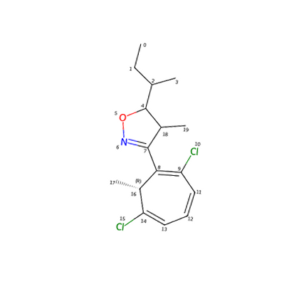 CCC(C)C1ON=C(C2=C(Cl)C=CC=C(Cl)[C@@H]2C)C1C